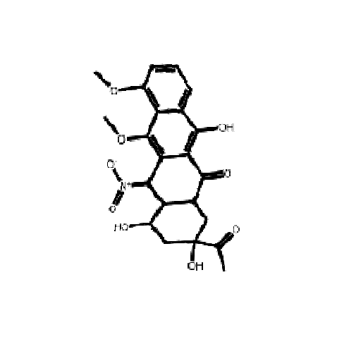 COc1cccc2c(O)c3c(c(OC)c12)C([N+](=O)[O-])C1C(O)CC(O)(C(C)=O)CC1C3=O